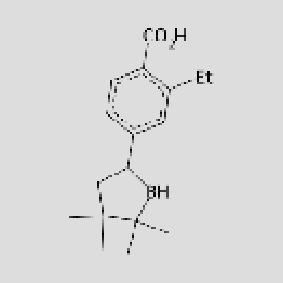 CCc1cc(C2BC(C)(C)C(C)(C)C2)ccc1C(=O)O